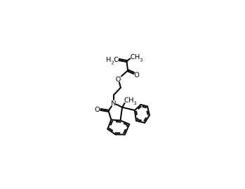 C=C(C)C(=O)OCCN1C(=O)c2ccccc2C1(C)c1ccccc1